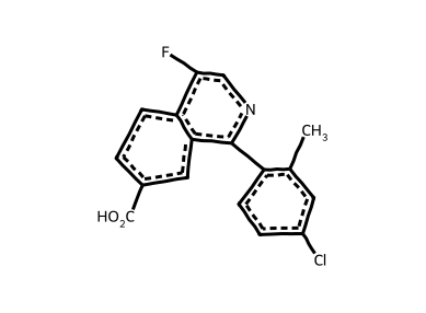 Cc1cc(Cl)ccc1-c1ncc(F)c2ccc(C(=O)O)cc12